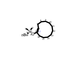 CCCC[Si](C)(C)O/C1=C\CCCCCCCCCC1